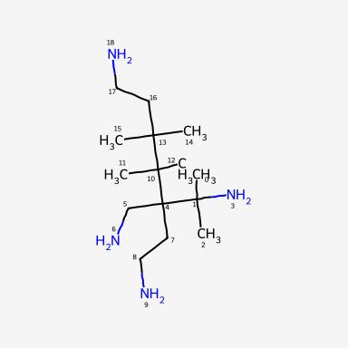 CC(C)(N)C(CN)(CCN)C(C)(C)C(C)(C)CCN